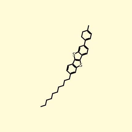 CCCCCCCCCCc1ccc2c(c1)sc1c3ccc(C4=CC=C(C)CC4)cc3sc21